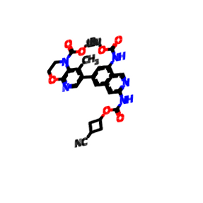 Cc1c(-c2cc(NC(=O)OC(C)(C)C)c3cnc(NC(=O)OC4CC(C#N)C4)cc3c2)cnc2c1N(C(=O)OC(C)(C)C)CCO2